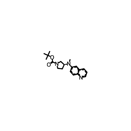 CN(c1ccc2ncccc2c1)[C@H]1CCN(C(=O)OC(C)(C)C)C1